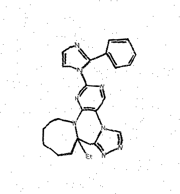 CCC12CCCCCN1c1nc(-n3ccnc3-c3ccccc3)ncc1-n1cnnc12